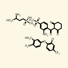 CP(=O)(O)CCC(N)C(=O)O.CS(=O)(=O)c1ccc(C(=O)C2C(=O)CCCC2=O)c([N+](=O)[O-])c1.O=C(O)c1cc(Oc2ccc(C(F)(F)F)cc2Cl)ccc1[N+](=O)[O-]